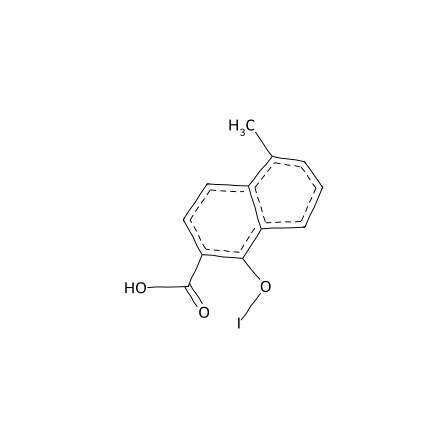 Cc1cccc2c(OI)c(C(=O)O)ccc12